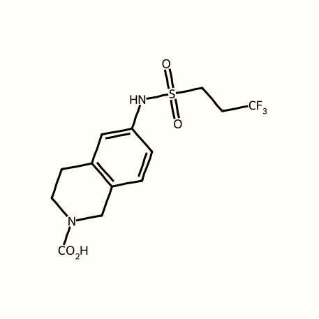 O=C(O)N1CCc2cc(NS(=O)(=O)CCC(F)(F)F)ccc2C1